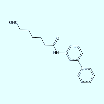 O=CCCCCCC(=O)Nc1cccc(-c2ccccc2)c1